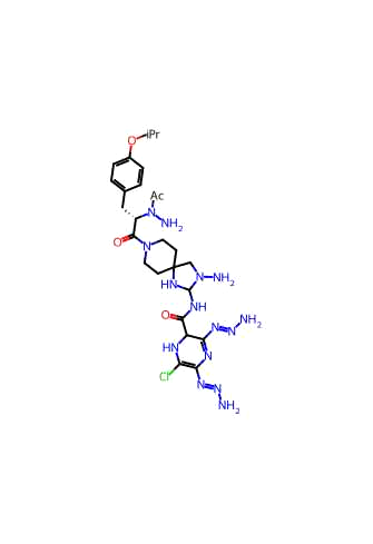 CC(=O)N(N)[C@@H](Cc1ccc(OC(C)C)cc1)C(=O)N1CCC2(CC1)CN(N)C(NC(=O)C1NC(Cl)=C(N=NN)N=C1N=NN)N2